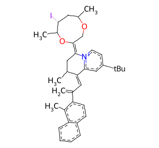 C=C(/C=C1/c2cc(C(C)(C)C)cc[n+]2/C(=C2\COC(C)C[C@@H](I)C(C)O2)CC1C)c1ccc2ccccc2c1C